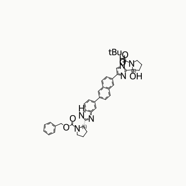 CC(C)(C)OC(=O)N1CCC[C@]1(O)c1nc(-c2ccc3cc(-c4ccc5[nH]c([C@@H]6CCCN6C(=O)OCc6ccccc6)nc5c4)ccc3c2)c[nH]1